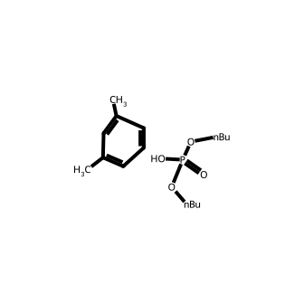 CCCCOP(=O)(O)OCCCC.Cc1cccc(C)c1